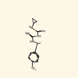 CC(NC(=N)NC(=N)NC1CC1)c1ccc(C(F)(F)F)cc1